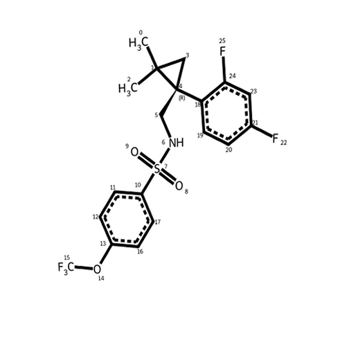 CC1(C)C[C@]1(CNS(=O)(=O)c1ccc(OC(F)(F)F)cc1)c1ccc(F)cc1F